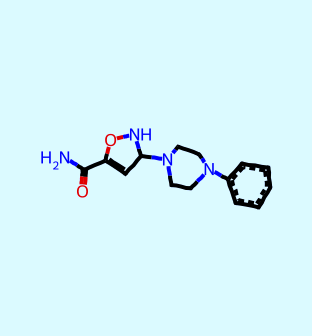 NC(=O)C1=CC(N2CCN(c3ccccc3)CC2)NO1